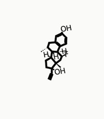 C#C[C@]1(O)CC[C@H]2[C@H]3[C@@H](c4ccc(O)cc4C[C@H]3C)[C@@H](F)C[C@@]21C